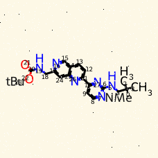 CNC(C)(C)CNc1nccc(-c2ccc3cnc(CNC(=O)OC(C)(C)C)cc3n2)n1